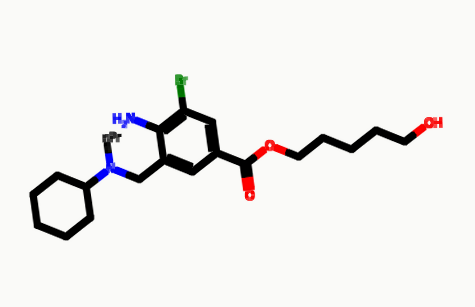 CCCN(Cc1cc(C(=O)OCCCCCO)cc(Br)c1N)C1CCCCC1